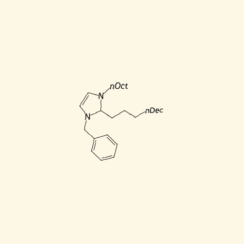 CCCCCCCCCCCCCC1N(CCCCCCCC)C=CN1Cc1ccccc1